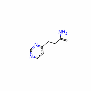 C=C(N)CCc1ccncn1